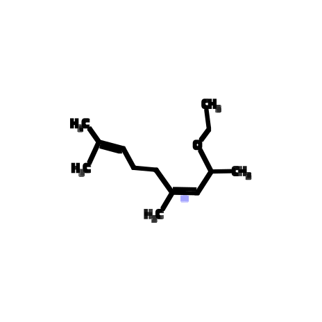 CCOC(C)/C=C(/C)CCC=C(C)C